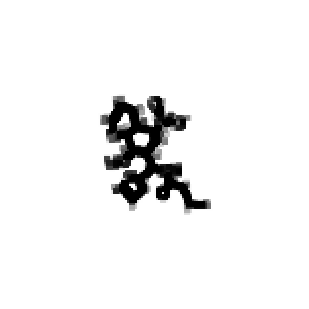 CCCC(=O)NC(c1cccs1)c1cc([N+](=O)[O-])c2cccnc2c1O